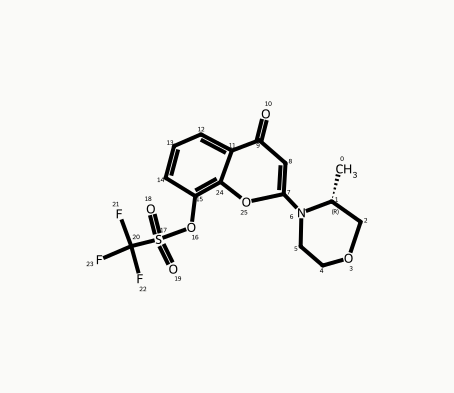 C[C@@H]1COCCN1c1cc(=O)c2cccc(OS(=O)(=O)C(F)(F)F)c2o1